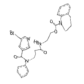 O=C(CCN(C(=O)c1cncc(Br)c1)c1ccccc1)NCCOC(=O)N1CCCc2ccccc21